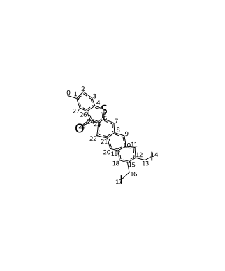 Cc1ccc2sc3cc4cc5cc(CI)c(CI)cc5cc4cc3c(=O)c2c1